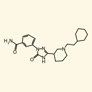 NC(=O)c1cccc(-n2nc(C3CCCN(CCC4CCCCC4)C3)[nH]c2=O)c1